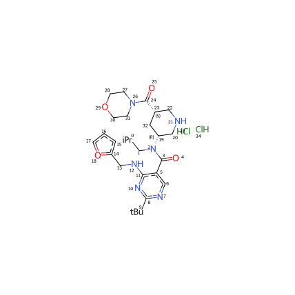 CC(C)CN(C(=O)c1cnc(C(C)(C)C)nc1NCc1ccco1)[C@H]1CNC[C@@H](C(=O)N2CCOCC2)C1.Cl.Cl